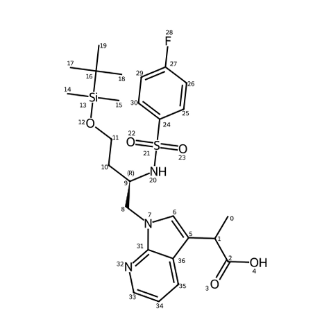 CC(C(=O)O)c1cn(C[C@@H](CCO[Si](C)(C)C(C)(C)C)NS(=O)(=O)c2ccc(F)cc2)c2ncccc12